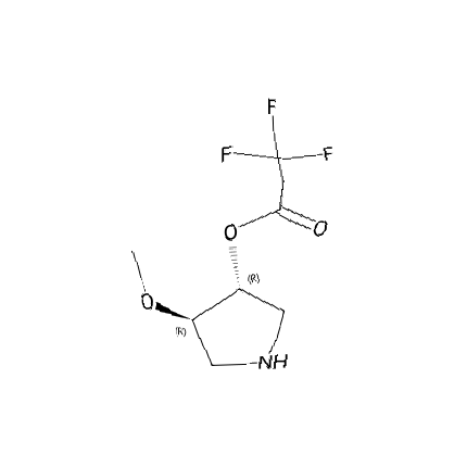 CO[C@@H]1CNC[C@H]1OC(=O)C(F)(F)F